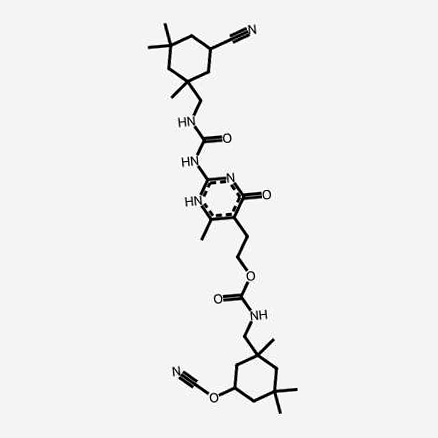 Cc1[nH]c(NC(=O)NCC2(C)CC(C#N)CC(C)(C)C2)nc(=O)c1CCOC(=O)NCC1(C)CC(OC#N)CC(C)(C)C1